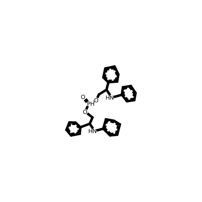 O=[PH](OCC(Nc1ccccc1)c1ccccc1)OCC(Nc1ccccc1)c1ccccc1